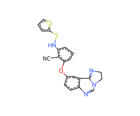 N#Cc1c(NSc2cccs2)cccc1Oc1ccc2c(c1)C1=NCCN1C=N2